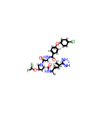 C[C@@H](NC(=O)[C@@H]1C[C@@H](OC(F)F)CN1C(=O)CNC(=O)c1ccc(Oc2ccc(Cl)cc2)cc1)c1cc(C(=N)N)cs1